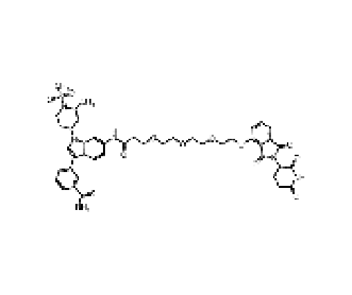 CC1CC(n2cc(-c3cccc(C(N)=S)c3)c3ccc(NC(=O)CCOCCOCCOCCOc4cccc5c4C(=O)N(C4CCC(=O)NC4=O)C5=O)cc32)CCN1S(C)(=O)=O